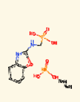 O=P(O)(O)CNc1nc2ccccc2o1.O=[PH](O)O.[NaH].[NaH]